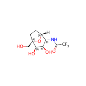 O=C(N[C@@H]1[C@@H](O)[C@@H](O)[C@]2(CO)CC[C@H]1O2)C(F)(F)F